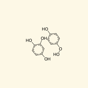 OOc1ccc(O)cc1.Oc1ccc(O)c(O)c1